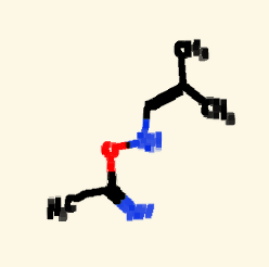 CC(=N)ONC=C(C)C